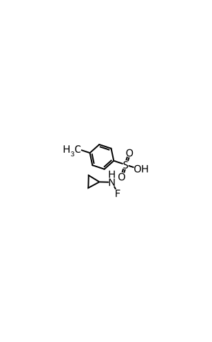 Cc1ccc(S(=O)(=O)O)cc1.FNC1CC1